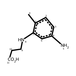 Cc1ccc(N)cc1NCCC(=O)O